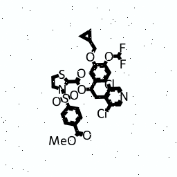 COC(=O)c1ccc(S(=O)(=O)N2CCSC2C(=O)OC(Cc2c(Cl)cncc2Cl)c2ccc(OC(F)F)c(OCC3CC3)c2)cc1